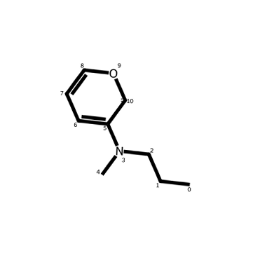 CCCN(C)C1=CC=CO[C]1